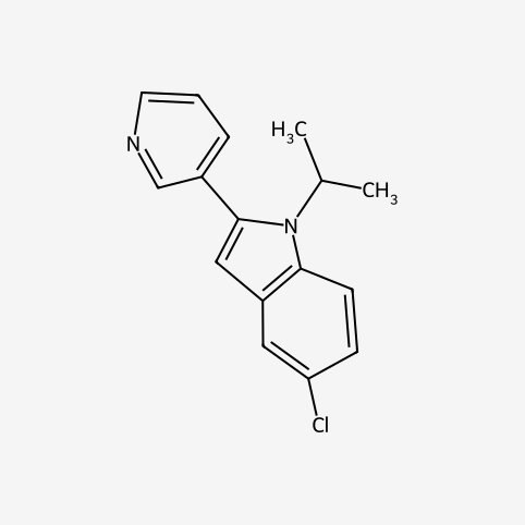 CC(C)n1c(-c2cccnc2)cc2cc(Cl)ccc21